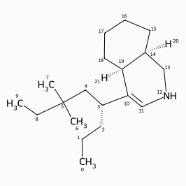 CCC[C@H](CC(C)(C)CC)C1=CNC[C@@H]2CCCC[C@H]12